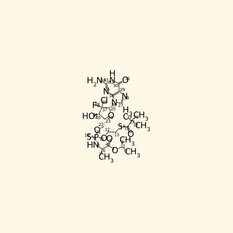 CC(C)OC(=O)[C@@H](C)NP(=S)(OCCSC(=O)C(C)(C)C)OC[C@H]1O[C@@H](n2cnc3c(=O)[nH]c(N)nc32)[C@@](F)(Cl)[C@@H]1O